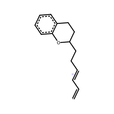 [CH]=C/C=C/CCC1CCc2ccccc2O1